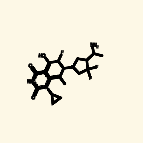 CC1=c2c(c(=O)[nH]c(=O)n2C2CC2)=C(O)C(F)C1N1CC(C(C)N)C(F)(F)C1